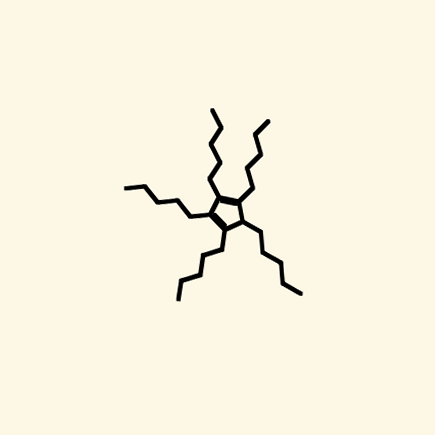 CCCCCC1=C(CCCCC)C(CCCCC)C(CCCCC)=C1CCCCC